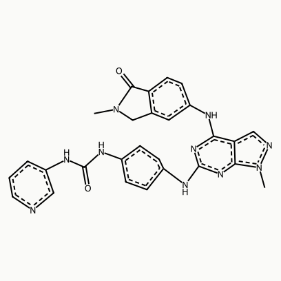 CN1Cc2cc(Nc3nc(Nc4ccc(NC(=O)Nc5cccnc5)cc4)nc4c3cnn4C)ccc2C1=O